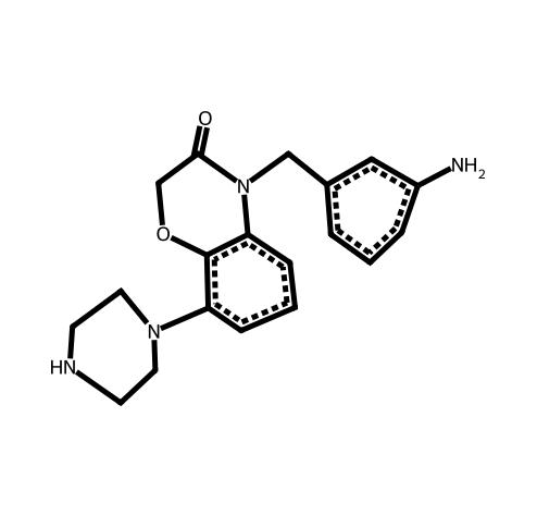 Nc1cccc(CN2C(=O)COc3c(N4CCNCC4)cccc32)c1